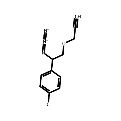 C#CCOCC(N=[N+]=[N-])c1ccc(Cl)cc1